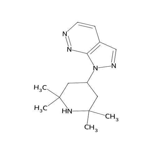 CC1(C)CC(n2ncc3ccnnc32)CC(C)(C)N1